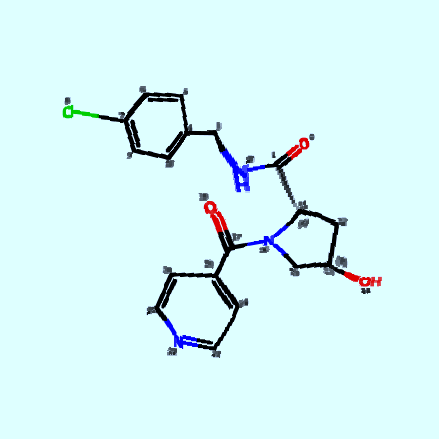 O=C(NCc1ccc(Cl)cc1)[C@@H]1C[C@@H](O)CN1C(=O)c1ccncc1